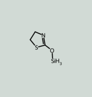 [SiH3]OC1=NCCS1